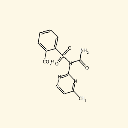 Cc1cnnc(N(C(N)=O)S(=O)(=O)c2ccccc2C(=O)O)n1